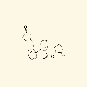 O=C1CC(CC2CC3C=CC2(C2C4C=CC(C4)C2C(=O)OC2CCCC2=O)C3)CO1